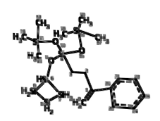 C=C(CC[Si](O[SiH]1[SiH2][SiH2][SiH2]1)(O[Si](C)(C)C)O[Si](C)(C)C)c1ccccc1